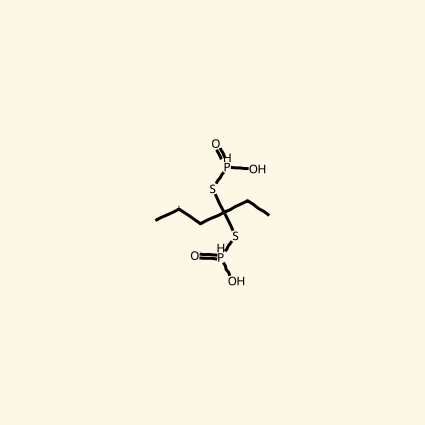 C[CH]CC(CC)(S[PH](=O)O)S[PH](=O)O